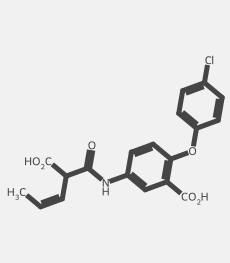 C/C=C\C(C(=O)O)C(=O)Nc1ccc(Oc2ccc(Cl)cc2)c(C(=O)O)c1